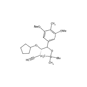 C#CC[C@H](OC1CCCC1)C(O[Si](C)(C)C(C)(C)C)c1cc(OC)c(C)c(OC)c1